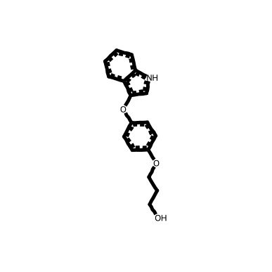 OCCCOc1ccc(Oc2c[nH]c3ccccc23)cc1